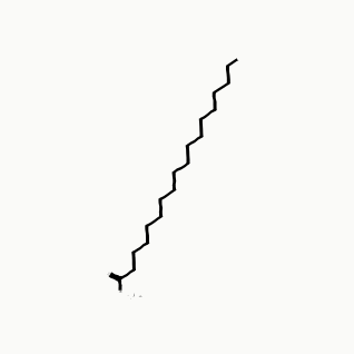 COC(=O)CCCCCCCCCCCCCCCCS